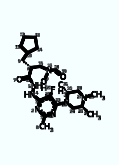 Cc1nc(NNC(=O)[C@H](CC2CCCC2)CN(O)C=O)c(F)c(N2C[C@H](C)N(C)C[C@H]2C)n1